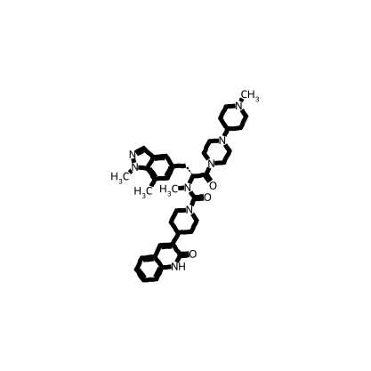 Cc1cc(C[C@H](C(=O)N2CCN(C3CCN(C)CC3)CC2)N(C)C(=O)N2CCC(c3cc4ccccc4[nH]c3=O)CC2)cc2cnn(C)c12